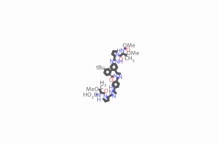 COC(=O)N[C@H](C(=O)n1cccc1-c1nc2ccc(-c3cnc4n3[C@H](c3ccc(C(C)(C)C)cc3)Oc3cc(-c5cnc(-c6cccn6C(=O)[C@@H](NC(=O)O)[C@@H](C)OC)[nH]5)ccc3-4)cc2[nH]1)[C@@H](C)OC